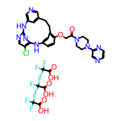 O=C(COc1ccc2cc1CCc1cncc(c1)Nc1ncc(Cl)c(n1)N2)N1CCN(c2cnccn2)CC1.O=C(O)C(F)(F)F.O=C(O)C(F)(F)F.O=C(O)C(F)(F)F